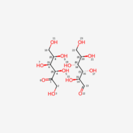 O=C(CO)[C@H](O)[C@@H](O)[C@H](O)CO.O=C[C@@H](O)[C@@H](O)[C@H](O)[C@H](O)CO